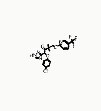 CC(C)(COc1ccc(C(F)(F)F)cn1)C(=O)C(Oc1ccc(Cl)cc1)c1nc[nH]n1